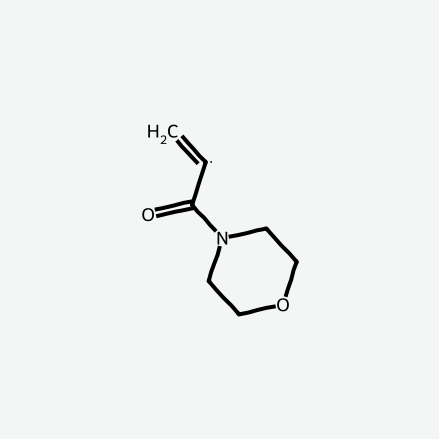 C=[C]C(=O)N1CCOCC1